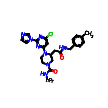 CCCNC(=O)N1CCN(c2cc(Cl)nc(-n3ccnc3)n2)C(CC(=O)NCc2ccc(C)cc2)C1